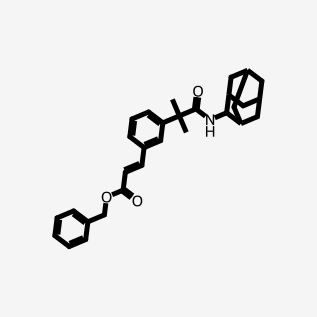 CC(C)(C(=O)NC1C2CC3CC(C2)CC1C3)c1cccc(/C=C/C(=O)OCc2ccccc2)c1